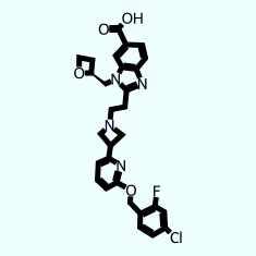 O=C(O)c1ccc2nc(CCN3CC(c4cccc(OCc5ccc(Cl)cc5F)n4)C3)n(C[C@@H]3CCO3)c2c1